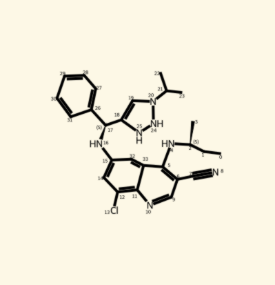 CC[C@H](C)Nc1c(C#N)cnc2c(Cl)cc(N[C@H](C3=CN(C(C)C)NN3)c3ccccc3)cc12